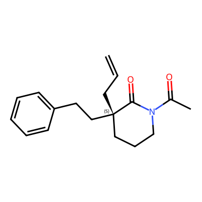 C=CC[C@]1(CCc2ccccc2)CCCN(C(C)=O)C1=O